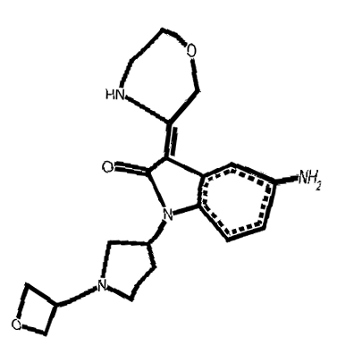 Nc1ccc2c(c1)/C(=C1\COCCN1)C(=O)N2C1CCN(C2COC2)C1